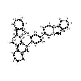 c1ccc2c(c1)nc(-c1ccc(-c3ccc4c5ccccc5nn4c3)cc1)c1c2ccc2c3ccccc3sc21